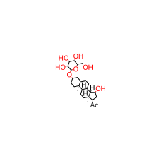 CC(=O)[C@H]1CC(O)[C@H]2[C@@H]3CC=C4CC(OC5O[C@H](CO)[C@@H](O)[C@H](O)[C@H]5O)CC[C@]4(C)[C@H]3CC[C@]12C